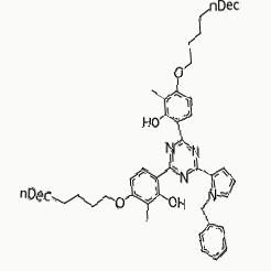 CCCCCCCCCCCCCCOc1ccc(-c2nc(-c3ccc(OCCCCCCCCCCCCCC)c(C)c3O)nc(-c3cccn3Cc3ccccc3)n2)c(O)c1C